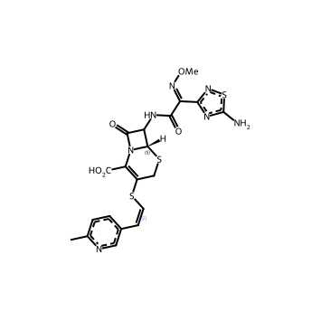 CON=C(C(=O)NC1C(=O)N2C(C(=O)O)=C(S/C=C\c3ccc(C)nc3)CS[C@@H]12)c1nsc(N)n1